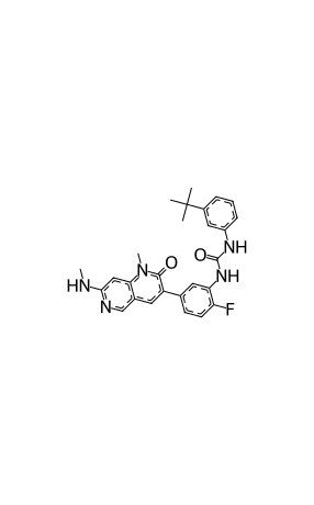 CNc1cc2c(cn1)cc(-c1ccc(F)c(NC(=O)Nc3cccc(C(C)(C)C)c3)c1)c(=O)n2C